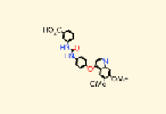 COc1cc2nccc(Oc3ccc(NC(=O)Nc4cccc(C(=O)O)c4)cc3)c2cc1OC